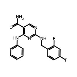 NC(=O)c1cnc(NCc2ccc(F)cc2F)nc1Nc1ccccc1